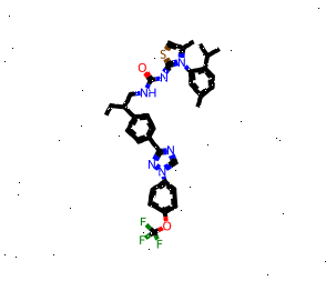 CCC(CNC(=O)/N=c1\scc(C)n1-c1cc(C)ccc1C(C)C)c1ccc(-c2ncn(-c3ccc(OC(F)(F)F)cc3)n2)cc1